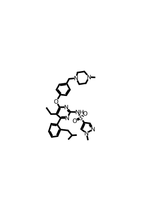 CCc1c(Oc2ccc(CN3CCN(C)CC3)cc2)nc(NS(=O)(=O)c2cnn(C)c2)nc1-c1ccccc1CC(C)C